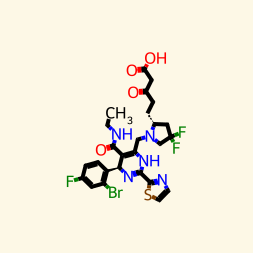 CCNC(=O)C1=C(CN2CC(F)(F)C[C@H]2CCC(=O)CC(=O)O)NC(c2nccs2)=N[C@H]1c1ccc(F)cc1Br